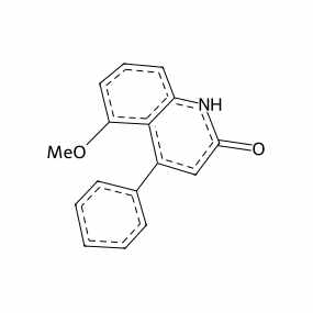 COc1cccc2[nH]c(=O)cc(-c3ccccc3)c12